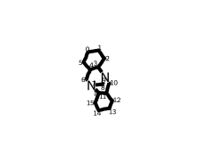 C1CCC2C(C1)CN1CN2CC2CCCCC21